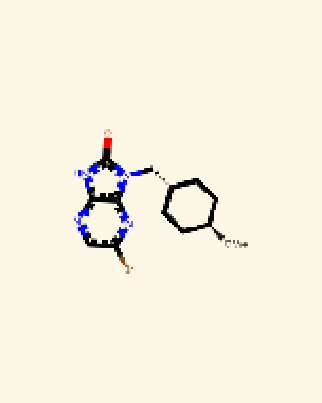 CO[C@H]1CC[C@H](Cn2c(=O)[nH]c3ncc(Br)nc32)CC1